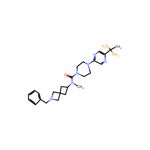 CN(C(=O)N1CCN(c2cnc(C(C)(P)P)cn2)CC1)C1CC2(C1)CN(Cc1ccccc1)C2